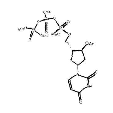 COP(=O)(OC)OP(=O)(OC)OP(=O)(OC)OC[C@H]1O[C@@H](n2ccc(=O)[nH]c2=O)CC1OC(C)=O